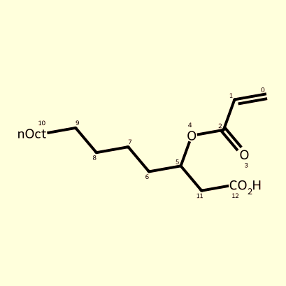 C=CC(=O)OC(CCCCCCCCCCCC)CC(=O)O